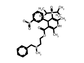 CC1=C(C(=O)OCCN(C)Cc2ccccc2)C(c2cccc([N+](=O)[O-])c2)C(P(=O)(C(C)C)C(C)C)=C(C)N1